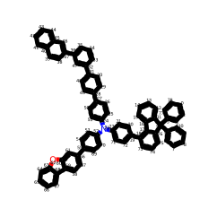 c1ccc(C2(c3ccccc3)c3ccccc3-c3c(-c4ccc(N(c5ccc(-c6ccc(-c7cccc(-c8ccc9ccccc9c8)c7)cc6)cc5)c5ccc(-c6ccc7c(c6)oc6ccccc67)cc5)cc4)cccc32)cc1